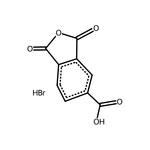 Br.O=C(O)c1ccc2c(c1)C(=O)OC2=O